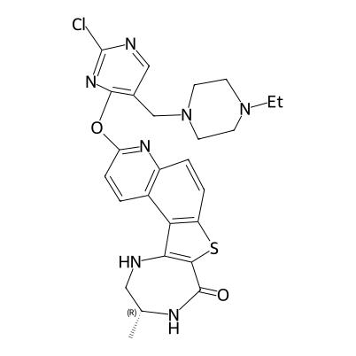 CCN1CCN(Cc2cnc(Cl)nc2Oc2ccc3c(ccc4sc5c(c43)NC[C@@H](C)NC5=O)n2)CC1